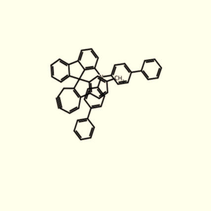 Cc1ccc2c(c1)C1(C3=C2C=CC#CC3)c2ccccc2-c2cccc(N(c3ccc(-c4ccccc4)cc3)c3ccc(-c4ccccc4)cc3)c21